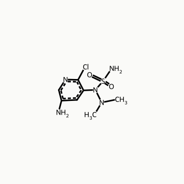 CN(C)N(c1cc(N)cnc1Cl)S(N)(=O)=O